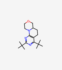 CC(C)(C)c1nc2c(c(C(C)(C)C)n1)CCC1COCCN21